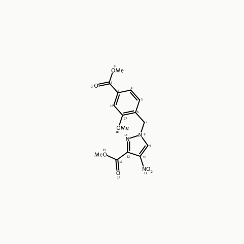 COC(=O)c1ccc(Cn2cc([N+](=O)[O-])c(C(=O)OC)n2)c(OC)c1